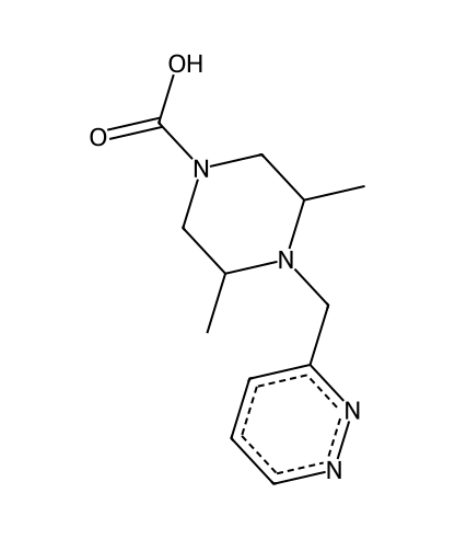 CC1CN(C(=O)O)CC(C)N1Cc1cccnn1